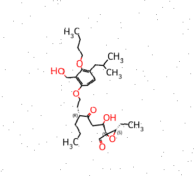 CCCCOc1c(CC(C)C)ccc(OCC[C@@H](CCC)C(=O)CC(O)[C@]2(C=O)O[C@H]2CC)c1CO